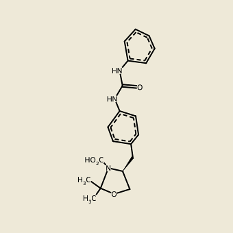 CC1(C)OC[C@H](Cc2ccc(NC(=O)Nc3ccccc3)cc2)N1C(=O)O